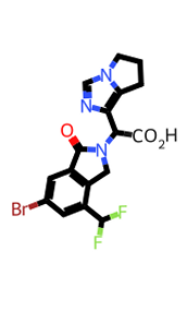 O=C(O)C(c1ncn2c1CCC2)N1Cc2c(cc(Br)cc2C(F)F)C1=O